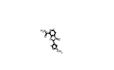 Cn1cc(C2Sc3c(ccnc3C(N)=O)N2Cl)cn1